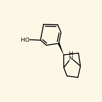 Oc1cccc([C@H]2CC3CCC2N3)c1